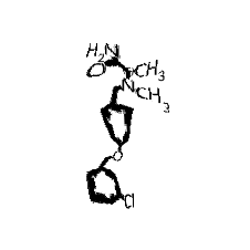 C[C@@H](C(N)=O)N(C)Cc1ccc(OCc2cccc(Cl)c2)cc1